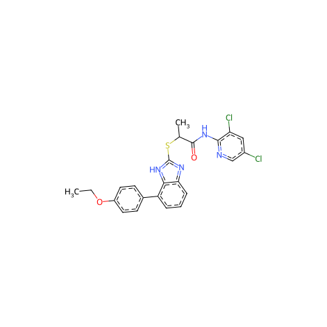 CCOc1ccc(-c2cccc3nc(SC(C)C(=O)Nc4ncc(Cl)cc4Cl)[nH]c23)cc1